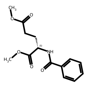 COC(=O)CC[C@H](NC(=O)c1ccccc1)C(=O)OC